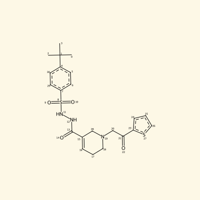 CC(C)(C)c1ccc(S(=O)(=O)NNC(=O)C2=CCCN(CC(=O)c3cccs3)C2)cc1